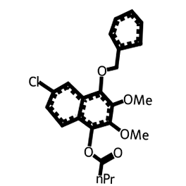 CCCC(=O)Oc1c(OC)c(OC)c(OCc2ccccc2)c2cc(Cl)ccc12